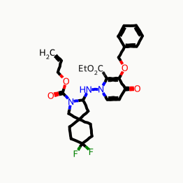 C=CCOC(=O)N1CC2(CCC(F)(F)CC2)CC1Nn1ccc(=O)c(OCc2ccccc2)c1C(=O)OCC